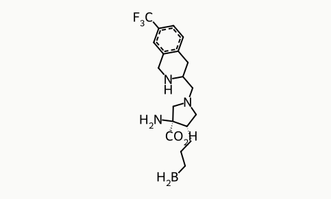 BCCC[C@H]1CN(CC2Cc3ccc(C(F)(F)F)cc3CN2)C[C@@]1(N)C(=O)O